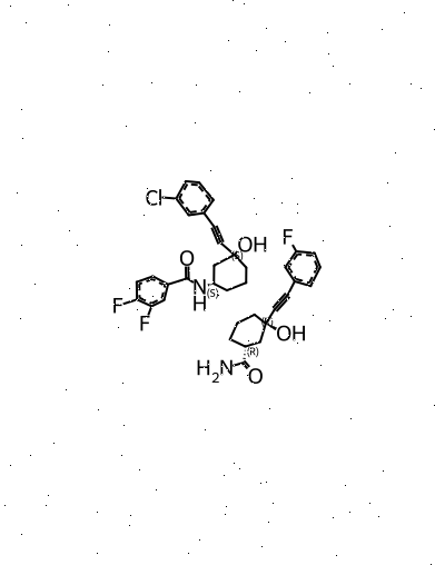 NC(=O)[C@@H]1CCC[C@](O)(C#Cc2cccc(F)c2)C1.O=C(N[C@H]1CCC[C@@](O)(C#Cc2cccc(Cl)c2)C1)c1ccc(F)c(F)c1